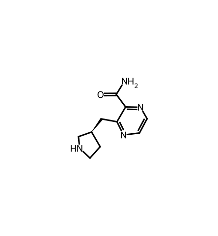 NC(=O)c1nccnc1C[C@H]1CCNC1